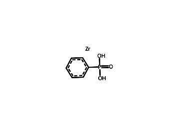 O=P(O)(O)c1ccccc1.[Zr]